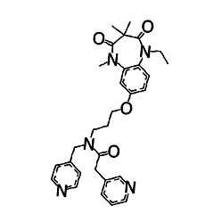 CCN1C(=O)C(C)(C)C(=O)N(C)c2cc(OCCCN(Cc3ccncc3)C(=O)Cc3cccnc3)ccc21